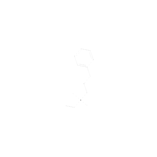 [CH2]CC(F)(F)CCCc1ccccc1